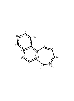 C1=Cc2c(ccc3ccccc23)ON=C1